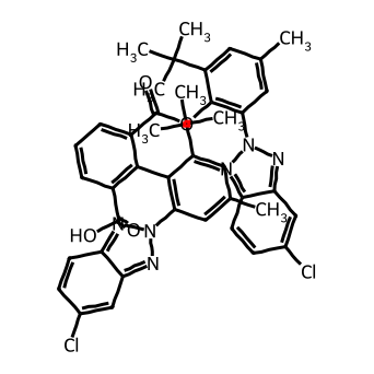 Cc1cc(-n2nc3ccc(Cl)cc3n2)c(OC(=O)c2cccc(C(=O)O)c2-c2c(-n3nc4ccc(Cl)cc4n3)cc(C)cc2C(C)(C)C)c(C(C)(C)C)c1